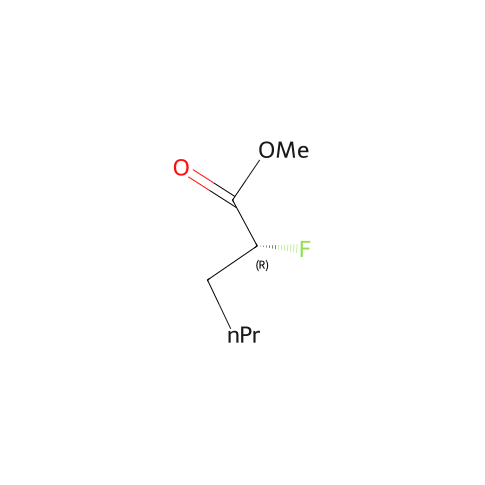 CCCC[C@@H](F)C(=O)OC